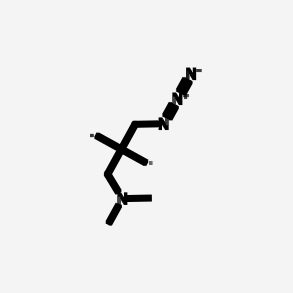 [CH2]C([CH2])(CN=[N+]=[N-])CN(C)C